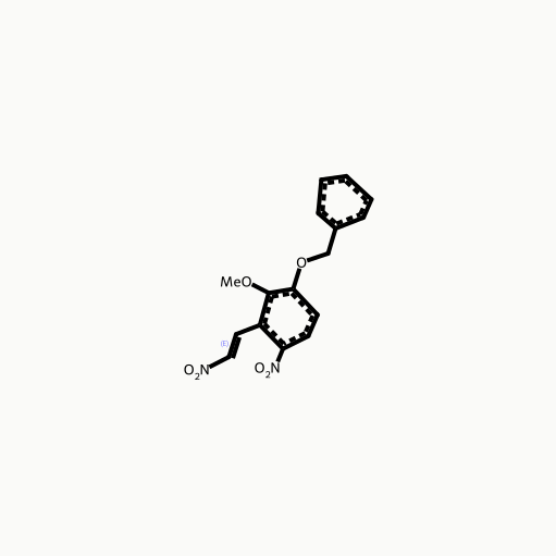 COc1c(OCc2ccccc2)ccc([N+](=O)[O-])c1/C=C/[N+](=O)[O-]